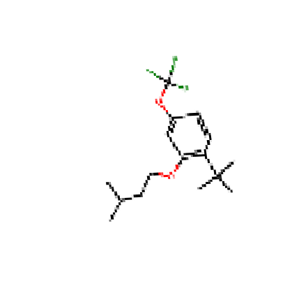 CC(C)CCOc1cc(OC(F)(F)F)ccc1C(C)(C)C